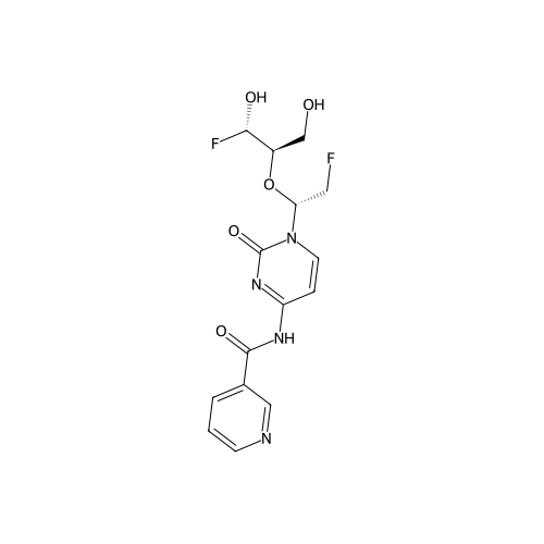 O=C(Nc1ccn([C@@H](CF)O[C@H](CO)[C@@H](O)F)c(=O)n1)c1cccnc1